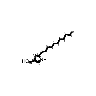 CCCCCCCCCCCc1nc(CO)c[nH]1